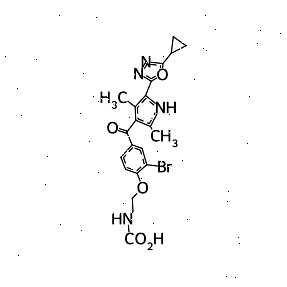 Cc1[nH]c(-c2nnc(C3CC3)o2)c(C)c1C(=O)c1ccc(OCCNC(=O)O)c(Br)c1